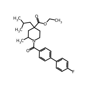 CCOC(=O)C1(CC(C)C)CCN(C(=O)c2ccc(-c3ccc(F)cc3)cc2)C(C)C1